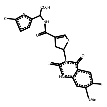 CNc1cc2[nH]c(=O)n(C3CC(C(=O)NC(C(=O)O)c4ccc(Cl)s4)=CS3)c(=O)c2cc1F